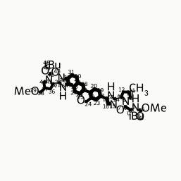 CCC(C)C(NC(=O)OC)C(=O)N1C[C@@H](C)C[C@H]1c1ncc(-c2ccc3c(c2)COc2cc4c(ccc5nc([C@@H]6CC(COC)CN6C(=O)OC(C)(C)C)[nH]c54)cc2-3)[nH]1